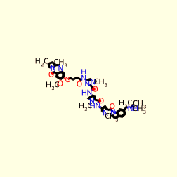 C=C1CN2C(=O)c3cc(OC)c(OCCCC(=O)Nc4cn(C)c(C(=O)Nc5cc(C(=O)Nc6cc(C(=O)n7ccc8ccc(CNC(C)(C)C)cc87)n(C)c6)n(C)c5)n4)cc3N=C[C@]2(C)C1